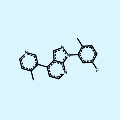 Cc1ccncc1-c1ccnc2c1cnn2-c1cc(F)ccc1C